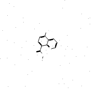 COc1ccc(C(=O)OC(C)C)c2ncccc12